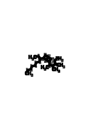 CCCCCCCC(CC)C1CC2CC(C(C)C(C)C(C)CP)C21